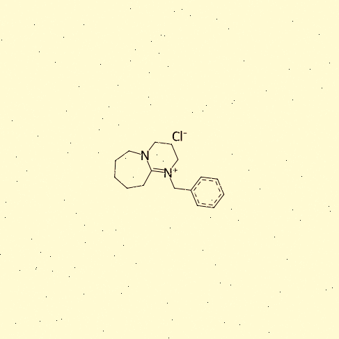 [Cl-].c1ccc(C[N+]2=C3CCCCCN3CCC2)cc1